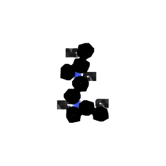 N#Cc1ccccc1-c1ccc2c(c1)c1ccccc1n2-c1cc(-c2ccc(C#N)c(-n3c4ccccc4c4cc(-c5ccccc5C#N)ccc43)c2)ccc1C#N